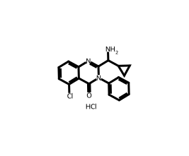 Cl.NC(c1nc2cccc(Cl)c2c(=O)n1-c1ccccc1)C1CC1